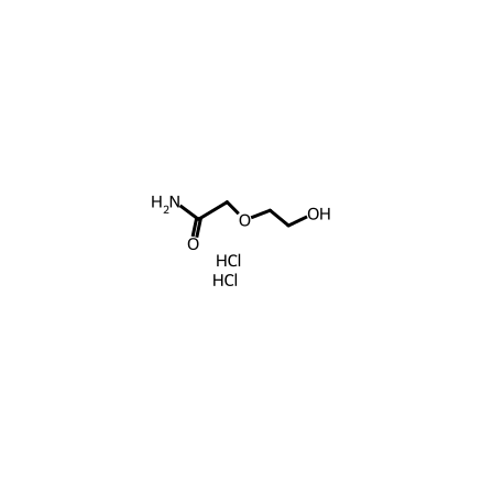 Cl.Cl.NC(=O)COCCO